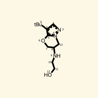 CC(C)(C)c1cnn2c1OCC(NCCO)C2